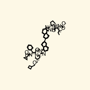 CC[C@H](C)[C@H](NC(=O)OC)C(=O)N1CCC[C@H]1c1nc2ccc3cc(-c4ccc5c(ccc6nc([C@@H]7C[C@H](COCC8CCC8)CN7C(=O)[C@H](NC(=O)C7CC7)c7ccccc7)[nH]c65)c4)ccc3c2[nH]1